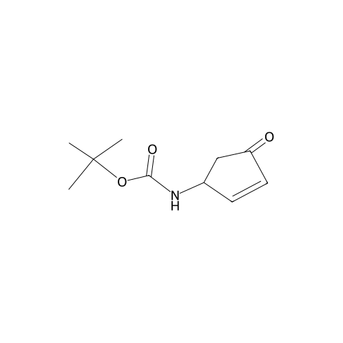 CC(C)(C)OC(=O)NC1C=CC(=O)C1